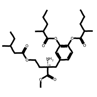 CCCC(C)C(=O)Oc1ccc(C[C@](N)(CCOC(=O)CC(C)CC)C(=O)OC)cc1OC(=O)C(C)CCC